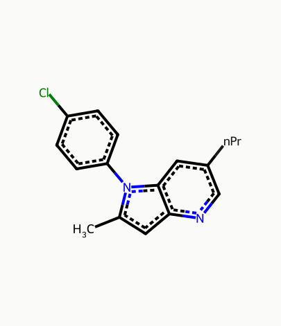 CCCc1cnc2cc(C)n(-c3ccc(Cl)cc3)c2c1